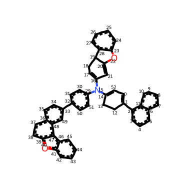 C1=C(c2cccc3ccccc23)CCC(N(C2=CCC3C(=C2)Oc2ccccc23)c2ccc(-c3ccc4ccc5oc6ccccc6c5c4c3)cc2)=C1